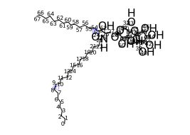 CCCCCCCC/C=C\CCCCCCCCCCCCCC(=O)NC(CO[C@@H]1O[C@H](CO)[C@@H](O[C@@H]2O[C@H](CO)[C@H](O)[C@H](O)[C@H]2O)[C@H](O)[C@@H]1O)C(O)/C=C/CCCCCCCCCCCCC